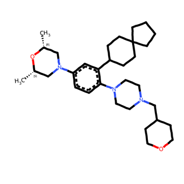 C[C@@H]1CN(c2ccc(N3CCN(CC4CCOCC4)CC3)c(C3CCC4(CCCC4)CC3)c2)C[C@H](C)O1